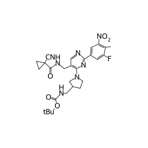 Cc1c(F)cc(-c2ncc(CNC(=O)C3(C#N)CC3)c(N3CCC(CNC(=O)OC(C)(C)C)C3)n2)cc1[N+](=O)[O-]